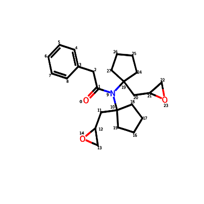 O=C(Cc1ccccc1)N(C1(CC2CO2)CCCC1)C1(CC2CO2)CCCC1